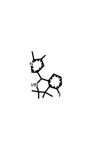 Cc1cc(C2NC(C)(C)C(C)(C)c3c(F)cccc32)cnc1C